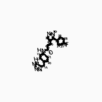 Cn1ncc(C=CC(=O)Nc2ccc(Cc3nnn[nH]3)cc2)c1-c1ccc(F)cc1